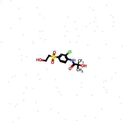 C[C@@](O)(C(=O)Nc1ccc(S(=O)(=O)CCO)cc1Cl)C(F)(F)F